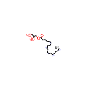 CC/C=C\C/C=C\C/C=C\C/C=C\C/C=C\CCCC(=O)OC[C@H](O)CO